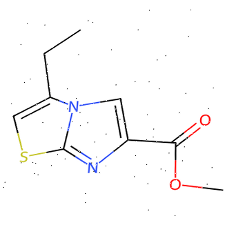 CCc1csc2nc(C(=O)OC)cn12